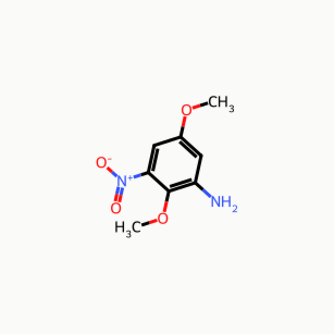 COc1cc(N)c(OC)c([N+](=O)[O-])c1